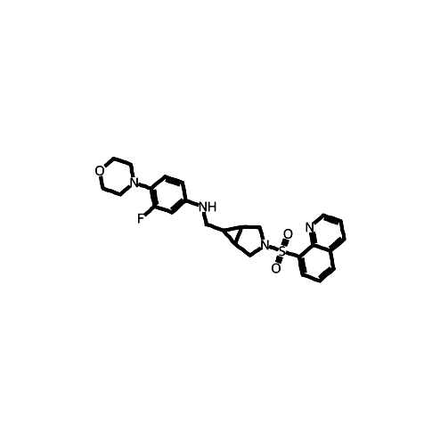 O=S(=O)(c1cccc2cccnc12)N1CC2C(CNc3ccc(N4CCOCC4)c(F)c3)C2C1